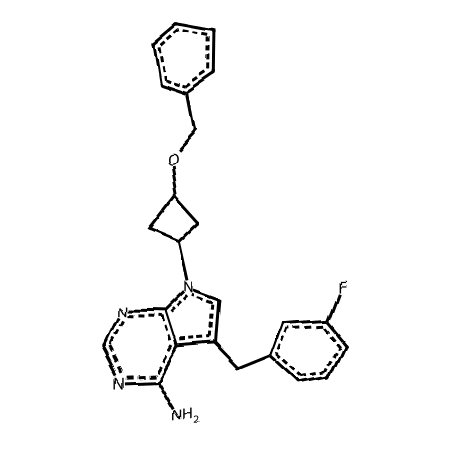 Nc1ncnc2c1c(Cc1cccc(F)c1)cn2C1CC(OCc2ccccc2)C1